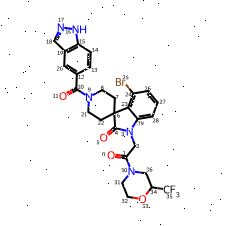 O=C(CN1C(=O)C2(CCN(C(=O)c3ccc4[nH]ncc4c3)CC2)c2c(Br)cccc21)N1CCOC(C(F)(F)F)C1